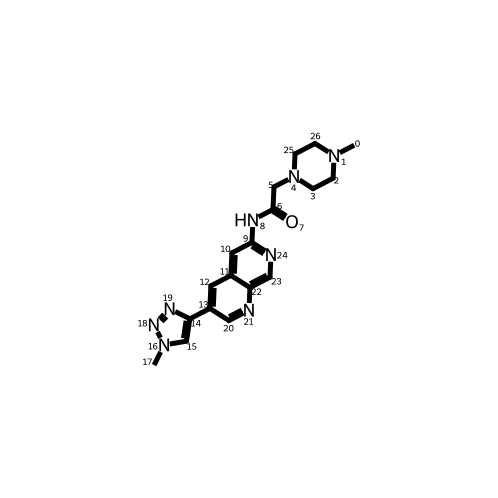 CN1CCN(CC(=O)Nc2cc3cc(-c4cn(C)nn4)cnc3cn2)CC1